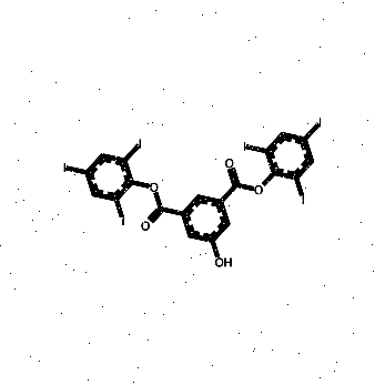 O=C(Oc1c(I)cc(I)cc1I)c1cc(O)cc(C(=O)Oc2c(I)cc(I)cc2I)c1